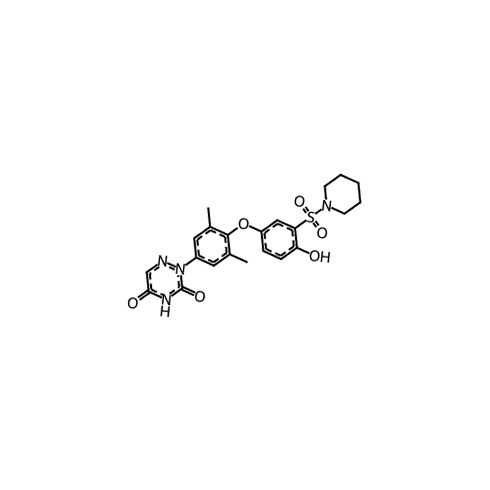 Cc1cc(-n2ncc(=O)[nH]c2=O)cc(C)c1Oc1ccc(O)c(S(=O)(=O)N2CCCCC2)c1